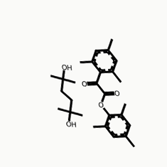 CC(C)(O)CCC(C)(C)O.Cc1cc(C)c(OC(=O)C(=O)c2c(C)cc(C)cc2C)c(C)c1